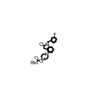 CC(C)(C)C(=O)ON1CCN(c2cccc3c2CC(=O)N3Cc2cccc(F)c2)CC1